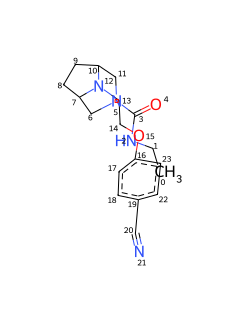 CCNC(=O)N1CC2CCC(C1)N2CCOc1ccc(C#N)cc1